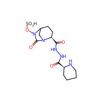 O=C(NNC(=O)[C@@H]1CCC2CN1C(=O)N2OS(=O)(=O)O)[C@@H]1CCCCN1